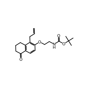 C=CCc1c(OCCNC(=O)OC(C)(C)C)ccc2c1CCCC2=O